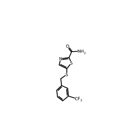 NC(=O)c1ncc(SCc2cccc(C(F)(F)F)c2)s1